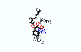 CCCC(C)COc1c(OCC=C(C)CCC=C(C)C)c2ccc([N+](=O)[O-])cc2[nH]c1=O